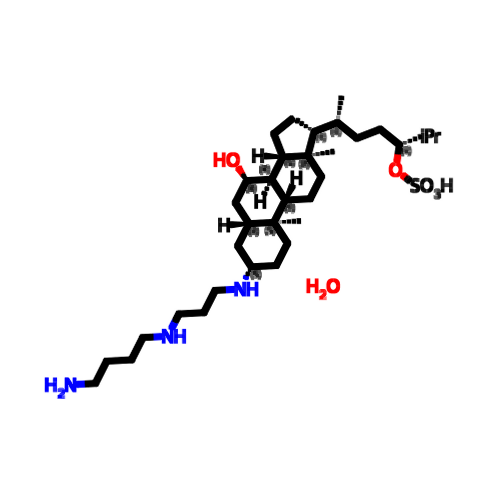 CC(C)[C@@H](CC[C@@H](C)[C@H]1CC[C@H]2[C@@H]3[C@H](O)C[C@H]4C[C@@H](NCCCNCCCCN)CC[C@]4(C)[C@H]3CC[C@]12C)OS(=O)(=O)O.O